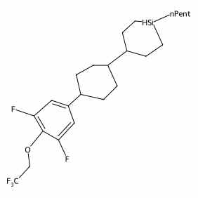 CCCCC[SiH]1CCC(C2CCC(c3cc(F)c(OCC(F)(F)F)c(F)c3)CC2)CC1